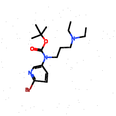 CCN(CC)CCCN(C(=O)OC(C)(C)C)c1ccc(Br)nc1